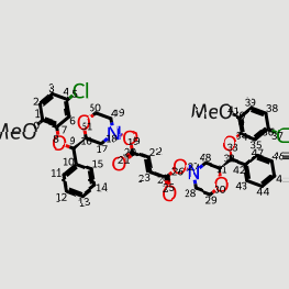 COc1ccc(Cl)cc1OC(c1ccccc1)[C@@H]1CN(OC(=O)/C=C/C(=O)ON2CCO[C@H](C(Oc3cc(Cl)ccc3OC)c3ccccc3)C2)CCO1